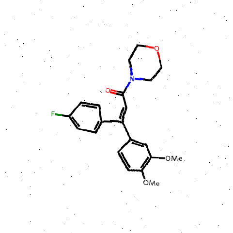 COc1ccc(C(=CC(=O)N2CCOCC2)c2ccc(F)cc2)cc1OC